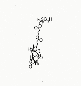 C[C@]12CCC(=O)C[C@H]1CC(=O)[C@@H]1[C@@H]2CC(=O)[C@]2(C)[C@@H]([C@H](I)CCC(=O)OCCCC(=O)OCC(F)(F)S(=O)(=O)O)CC[C@@H]12